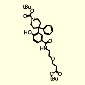 CC(C)(C)OC(=O)CCOCCNC(=O)c1ccc(O)c(C2(c3ccccc3)CCN(C(=O)OC(C)(C)C)CC2)c1